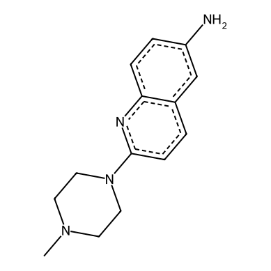 CN1CCN(c2ccc3cc(N)ccc3n2)CC1